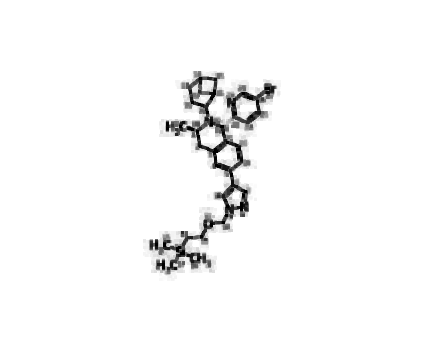 C[C@@H]1Cc2cc(-c3cnn(COCC[Si](C)(C)C)c3)ccc2[C@@H](c2ccc(Br)cn2)N1C1CCC2CC1C2